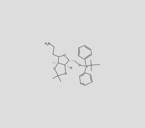 CC1(C)O[C@@H]2[C@@H](CO[Si](c3ccccc3)(c3ccccc3)C(C)(C)C)OC(CCN)[C@]2(C)O1